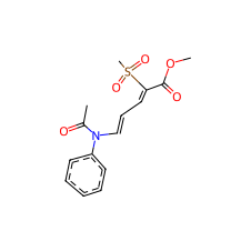 COC(=O)/C(=C/C=C/N(C(C)=O)c1ccccc1)S(C)(=O)=O